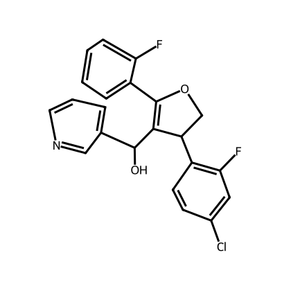 OC(C1=C(c2ccccc2F)OCC1c1ccc(Cl)cc1F)c1cccnc1